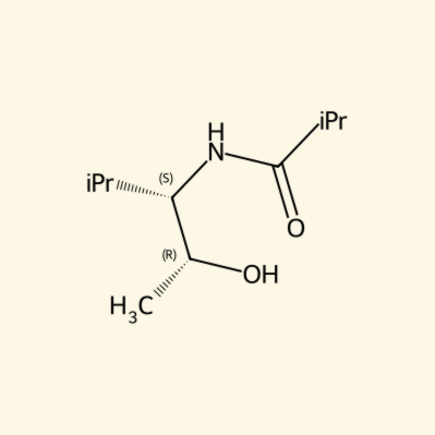 CC(C)C(=O)N[C@@H](C(C)C)[C@@H](C)O